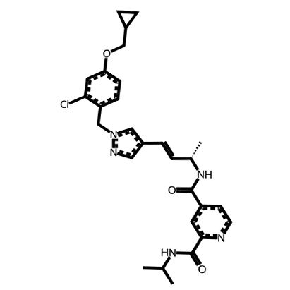 CC(C)NC(=O)c1cc(C(=O)N[C@@H](C)/C=C/c2cnn(Cc3ccc(OCC4CC4)cc3Cl)c2)ccn1